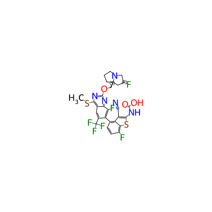 CSc1nc(OC[C@@]23CCCN2C[C@H](F)C3)nc2c(F)c(-c3ccc(F)c4sc(NC(=O)O)c(C#N)c34)c(C(F)(F)F)cc12